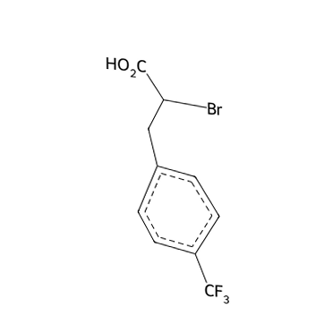 O=C(O)C(Br)Cc1ccc(C(F)(F)F)cc1